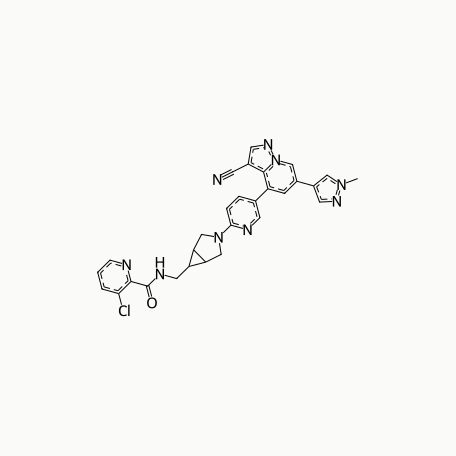 Cn1cc(-c2cc(-c3ccc(N4CC5C(CNC(=O)c6ncccc6Cl)C5C4)nc3)c3c(C#N)cnn3c2)cn1